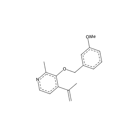 C=C(C)c1ccnc(C)c1OCc1cccc(OC)c1